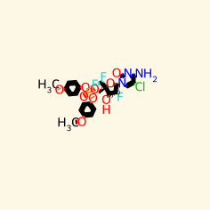 COc1ccc(OP(=O)(OC[C@@]2(C(F)F)O[C@@H](n3cc(Cl)c(N)nc3=O)[C@H](F)[C@H]2O)Oc2ccc(OC)cc2)cc1